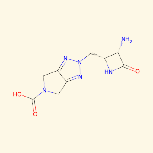 N[C@@H]1C(=O)N[C@@H]1Cn1nc2c(n1)CN(C(=O)O)C2